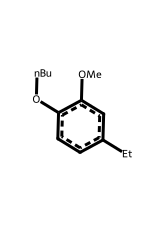 [CH2]Cc1ccc(OCCCC)c(OC)c1